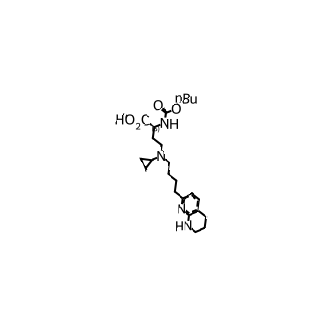 CCCCOC(=O)N[C@@H](CCN(CCCCc1ccc2c(n1)NCCC2)C1CC1)C(=O)O